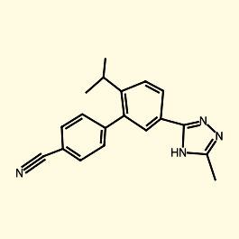 Cc1nnc(-c2ccc(C(C)C)c(-c3ccc(C#N)cc3)c2)[nH]1